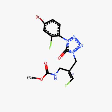 CC(C)(C)OC(=O)NC/C(=C\F)Cn1nnn(-c2ccc(Br)cc2F)c1=O